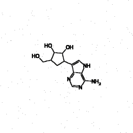 Nc1ncnc2c(C3CC(CO)C(O)C3O)c[nH]c12